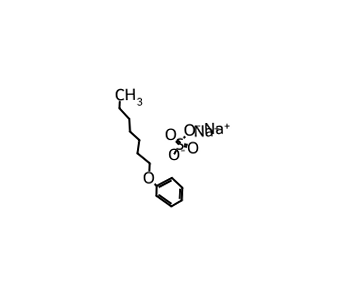 CCCCCCCOc1ccccc1.O=S(=O)([O-])[O-].[Na+].[Na+]